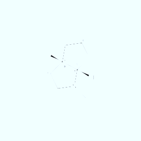 CN1CC[C@@H]2CCO[C@@H]21